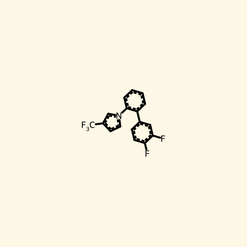 Fc1ccc(-c2ccccc2-n2ccc(C(F)(F)F)c2)cc1F